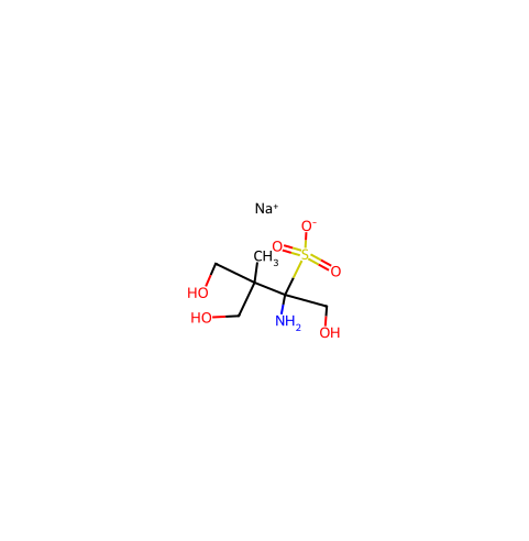 CC(CO)(CO)C(N)(CO)S(=O)(=O)[O-].[Na+]